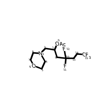 CC(=O)OC(CN1CCOCC1)CC(F)(F)CCC(F)(F)F